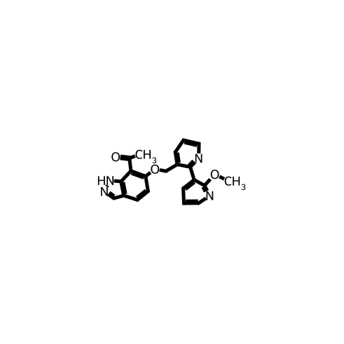 COc1ncccc1-c1ncccc1COc1ccc2cn[nH]c2c1C(C)=O